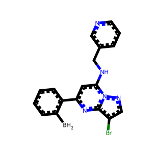 Bc1ccccc1-c1cc(NCc2cccnc2)n2ncc(Br)c2n1